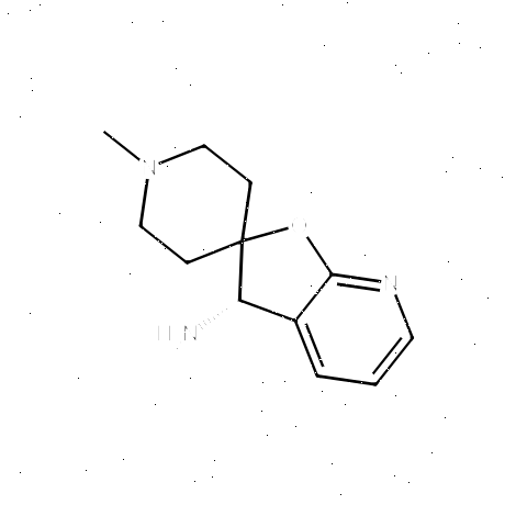 CN1CCC2(CC1)Oc1ncccc1[C@@H]2N